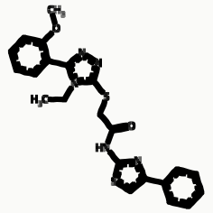 CCn1c(SCC(=O)Nc2nc(-c3ccccc3)cs2)nnc1-c1ccccc1OC